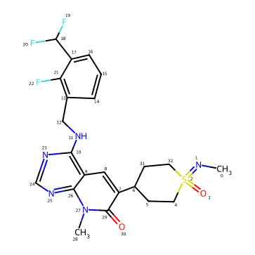 CN=S1(=O)CCC(c2cc3c(NCc4cccc(C(F)F)c4F)ncnc3n(C)c2=O)CC1